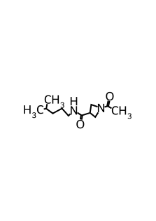 CC(=O)N1CC(C(=O)NCCCC(C)C)C1